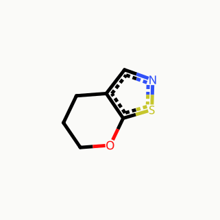 c1nsc2c1CCCO2